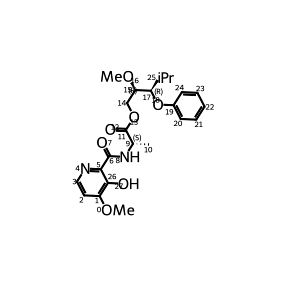 COc1ccnc(C(=O)N[C@@H](C)C(=O)OC[C@@H](OC)[C@H](Oc2ccccc2)C(C)C)c1O